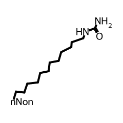 CCCCCCCCCCCCCCCCCCCCCNC(N)=O